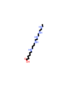 CCNCCNCCNCCNCCCCNCCCCCC(=O)O